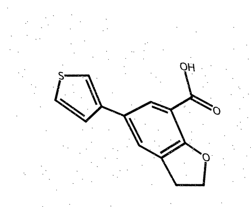 O=C(O)c1cc(-c2ccsc2)cc2c1OCC2